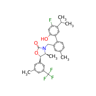 Cc1cc([C@H]2OC(=O)N(Cc3cc(C)ccc3-c3cc(C(C)C)c(F)cc3O)[C@H]2C)cc(C(F)(F)F)c1